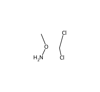 CON.ClCCl